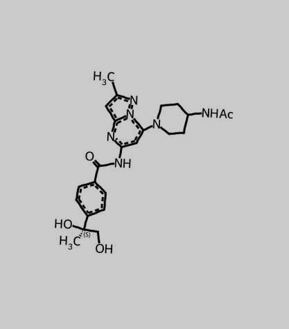 CC(=O)NC1CCN(c2cc(NC(=O)c3ccc([C@](C)(O)CO)cc3)nc3cc(C)nn23)CC1